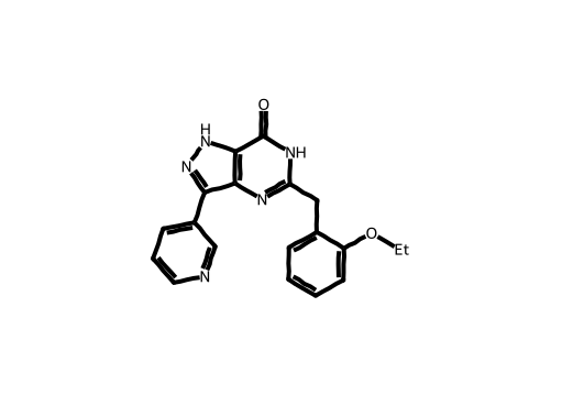 CCOc1ccccc1Cc1nc2c(-c3cccnc3)n[nH]c2c(=O)[nH]1